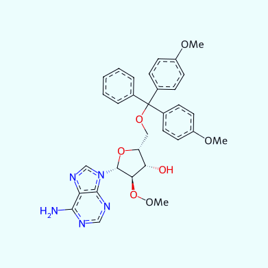 COO[C@@H]1[C@@H](O)[C@@H](COC(c2ccccc2)(c2ccc(OC)cc2)c2ccc(OC)cc2)O[C@H]1n1cnc2c(N)ncnc21